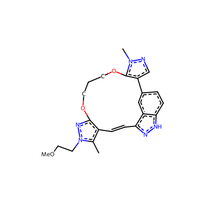 COCCn1nc2c(c1C)/C=C/c1n[nH]c3ccc(cc13)-c1cnn(C)c1OCCCO2